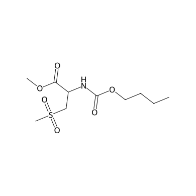 CCCCOC(=O)NC(CS(C)(=O)=O)C(=O)OC